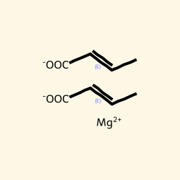 C/C=C/C(=O)[O-].C/C=C/C(=O)[O-].[Mg+2]